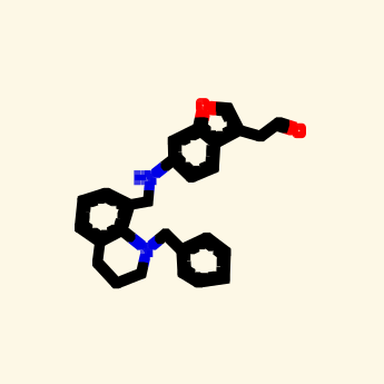 O=CCc1coc2cc(NCc3cccc4c3N(Cc3ccccc3)CCC4)ccc12